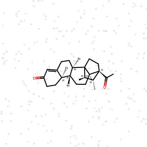 CC(=O)[C@@]12CCC3([C@H](C)[C@H]1C)[C@@H]1CCC4=CC(=O)CC[C@@H]4[C@H]1CC[C@@]32C